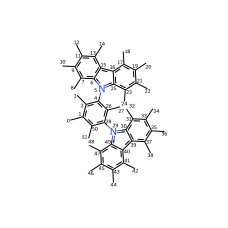 Cc1c(C)c(-n2c3c(C)c(C)c(C)c(C)c3c3c(C)c(C)c(C)c(C)c32)c(C)c(-n2c3c(C)c(C)c(C)c(C)c3c3c(C)c(C)c(C)c(C)c32)c1C